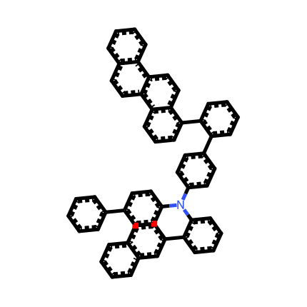 c1ccc(-c2ccc(N(c3ccc(-c4ccccc4-c4cccc5c4ccc4c6ccccc6ccc54)cc3)c3ccccc3-c3ccc4ccccc4c3)cc2)cc1